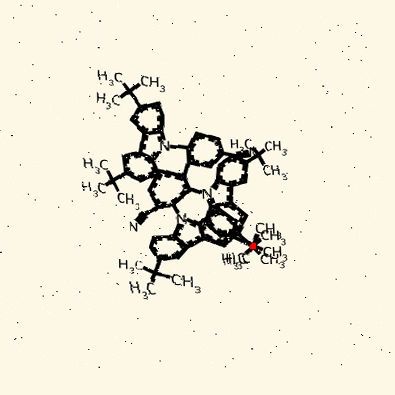 CC(C)(C)c1ccc2c(c1)c1cc(C(C)(C)C)ccc1n2-c1ccc(C#N)cc1-c1ccc(C#N)c(-n2c3ccc(C(C)(C)C)cc3c3cc(C(C)(C)C)ccc32)c1-n1c2ccc(C(C)(C)C)cc2c2cc(C(C)(C)C)ccc21